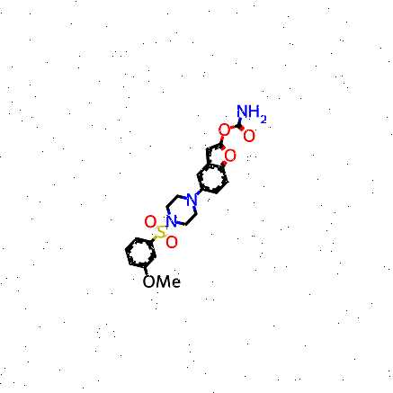 COc1cccc(S(=O)(=O)N2CCN(c3ccc4oc(OC(N)=O)cc4c3)CC2)c1